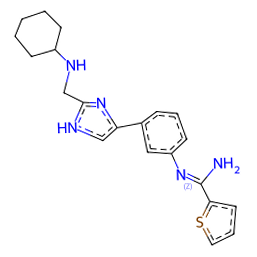 N/C(=N\c1cccc(-c2c[nH]c(CNC3CCCCC3)n2)c1)c1cccs1